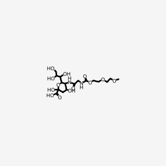 COCCOCCOC(=O)NCC(=O)NC1C(O)CC(O)(C(=O)O)OC1C(O)C(O)CO